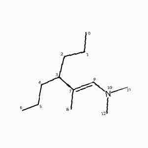 CCCC(CCC)C(C)=CN(C)C